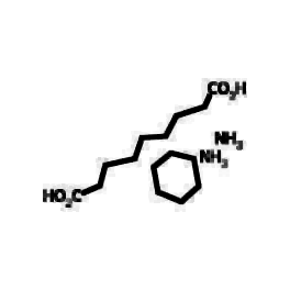 C1CCCCC1.N.N.O=C(O)CCCCCCCC(=O)O